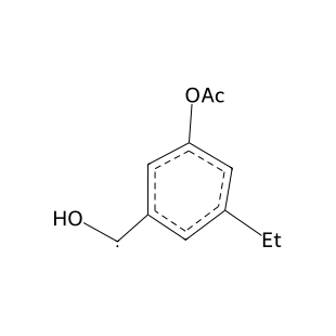 CCc1cc([CH]O)cc(OC(C)=O)c1